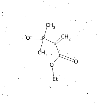 C=C(C(=O)OCC)P(C)(C)=O